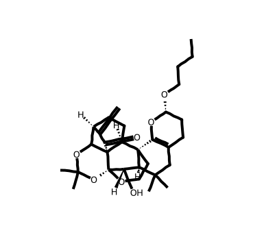 C=C1C(=O)[C@@]23C4OC(C)(C)O[C@]25OCC[C@]2(C6=C(CC[C@@H](OCCCC)O6)CC(C)(C)[C@H]2[C@@H]5O)[C@@H]3CC[C@@H]14